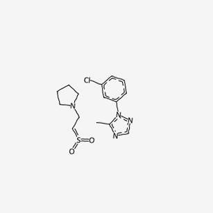 Cc1ncnn1-c1cccc(Cl)c1.O=S(=O)=CCN1CCCC1